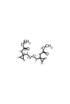 COC(=O)CC1(CSSCC2(CC(=O)OC)CC2)CC1